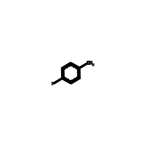 [C]c1ccc(C)cc1